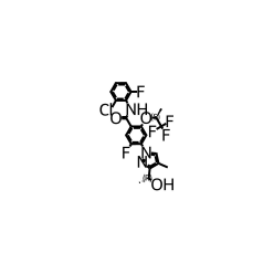 Cc1cn(-c2cc(O[C@@H](C)C(F)(F)F)c(C(=O)Nc3c(F)cccc3Cl)cc2F)nc1[C@@H](C)O